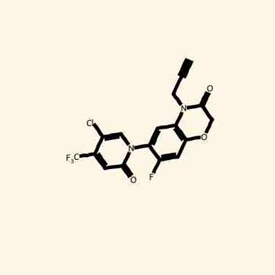 C#CCN1C(=O)COc2cc(F)c(-n3cc(Cl)c(C(F)(F)F)cc3=O)cc21